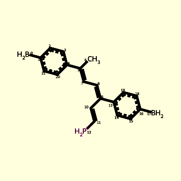 Bc1ccc(/C(C)=C/C=C(\C=C\P)c2ccc(B)cc2)cc1